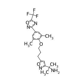 Cc1cc(-c2noc(C(F)(F)F)n2)cc(C)c1OCCCc1cc(C(C)(C)N)no1